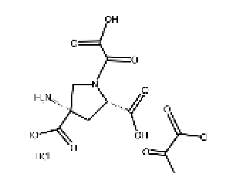 CC(=O)C(=O)Cl.Cl.N[C@@]1(C(=O)O)C[C@@H](C(=O)O)N(C(=O)C(=O)O)C1